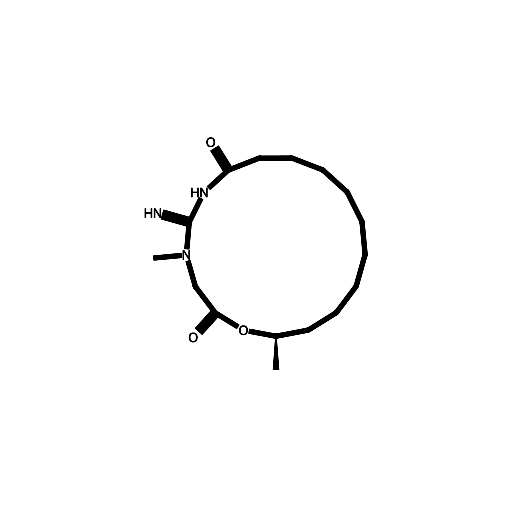 C[C@@H]1CCCCCCCCCC(=O)NC(=N)N(C)CC(=O)O1